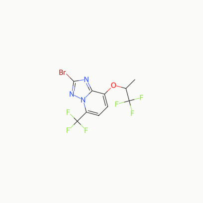 CC(Oc1ccc(C(F)(F)F)n2nc(Br)nc12)C(F)(F)F